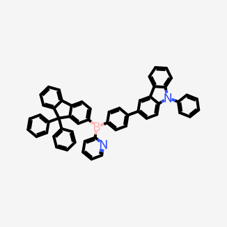 c1ccc(-n2c3ccccc3c3cc(-c4ccc(B(c5ccc6c(c5)C(c5ccccc5)(c5ccccc5)c5ccccc5-6)c5ccccn5)cc4)ccc32)cc1